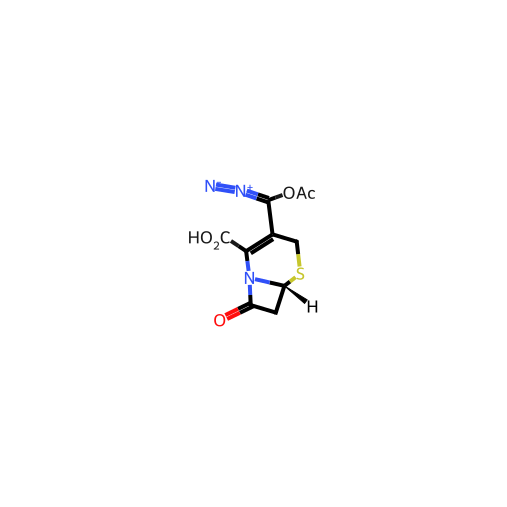 CC(=O)OC(=[N+]=[N-])C1=C(C(=O)O)N2C(=O)C[C@H]2SC1